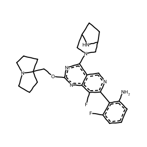 Nc1cccc(F)c1-c1ncc2c(N3CC4CCC(C3)N4)nc(OCC34CCCN3CCC4)nc2c1F